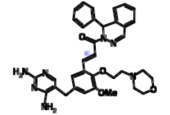 COc1cc(Cc2cnc(N)nc2N)cc(/C=C/C(=O)N2N=Cc3ccccc3C2c2ccccc2)c1OCCN1CCOCC1